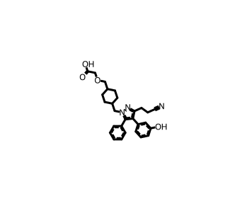 N#CCCc1nn(CC2CCC(COCC(=O)O)CC2)c(-c2ccccc2)c1-c1cccc(O)c1